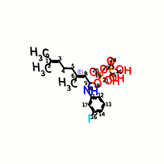 CC(C)=CCC/C(C)=C/C(Nc1cccc(F)c1)OP(=O)(O)OP(=O)(O)O